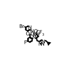 C[C@@H](Oc1cc(Br)cnc1[N+](=O)[O-])c1cc(F)ccc1-n1nc(C(F)(F)F)cc1Cc1cn(CC2CC2)nn1